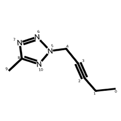 CCC#CCn1nnc(C)n1